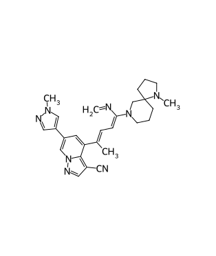 C=N/C(=C\C=C(/C)c1cc(-c2cnn(C)c2)cn2ncc(C#N)c12)N1CCCC2(CCCN2C)C1